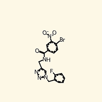 O=C(NCc1cn(Cc2ccccc2F)nn1)c1ccc(Br)c([N+](=O)[O-])c1